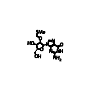 CSCO[C@@H]1[C@H](O)[C@@H](CO)O[C@H]1n1cnc2c(=O)[nH]c(N)nc21